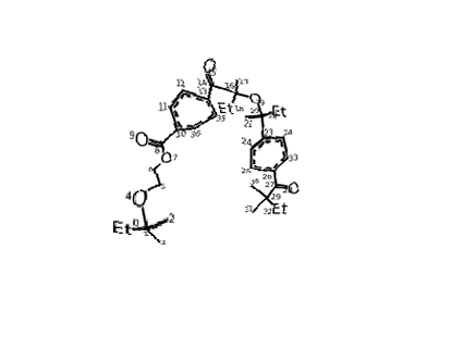 CCC(C)(C)OCCOC(=O)c1ccc(C(=O)C(C)(CC)OC(C)(CC)c2ccc(C(=O)C(C)(C)CC)cc2)cc1